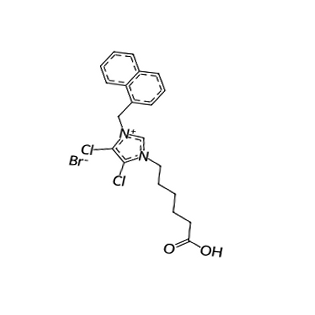 O=C(O)CCCCCn1c[n+](Cc2cccc3ccccc23)c(Cl)c1Cl.[Br-]